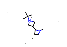 CN1CCC1C1CN(C(C)(C)C)C1